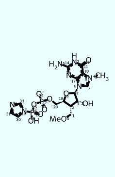 COC[C@H]1[C@@H](O)[C@H](n2c[n+](C)c3c(=O)[nH]c(N)nc32)O[C@@H]1COP(=O)([O-])OP(=O)(O)n1ccnc1